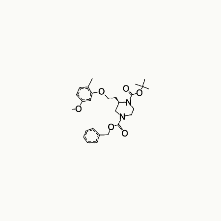 COc1ccc(C)c(OCC[C@@H]2CN(C(=O)OCc3ccccc3)CCN2C(=O)OC(C)(C)C)c1